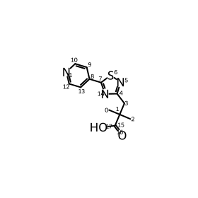 CC(C)(Cc1nsc(-c2ccncc2)n1)C(=O)O